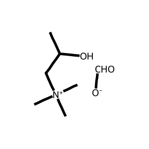 CC(O)C[N+](C)(C)C.O=C[O-]